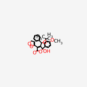 COc1ccc(C2(O)OC(=O)C(C3=CCOO3)=C2C(OC(C)C)c2ccccc2)cc1